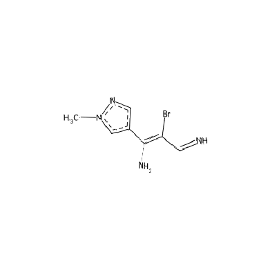 Cn1cc(/C(N)=C(\Br)C=N)cn1